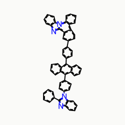 c1ccc(-c2nc3ccccc3n2-c2ccc(-c3c4ccccc4c(-c4ccc(-c5ccc6c7ccccc7n7c8ccccc8nc7c6c5)cc4)c4ccccc34)cc2)cc1